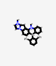 CC(C)c1cccc(C(C)C)c1B1c2ccccc2N(C)c2c1ccc1c2CC2N(C)C=CN12